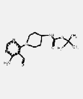 CC(C)(C)OC(=O)NC1CCN(c2ncnc(N)c2C=O)CC1